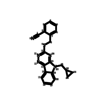 N#Cc1ccccc1CSc1nnc2c3ccccc3n(CC3CC3)c2n1